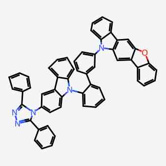 c1ccc(-c2nnc(-c3ccccc3)n2-c2ccc3c(c2)c2ccccc2n3-c2ccccc2-c2cccc(-n3c4ccccc4c4cc5oc6ccccc6c5cc43)c2)cc1